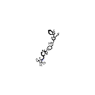 N#Cc1cc(CNCC2CCN(c3nccc(/C=C4\SC(=O)NC4=O)n3)CC2)cnc1-c1csc2ccccc12